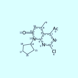 CC(=O)c1nc(Cl)nc2c1c(C)cc(=O)n2C1CCCC1